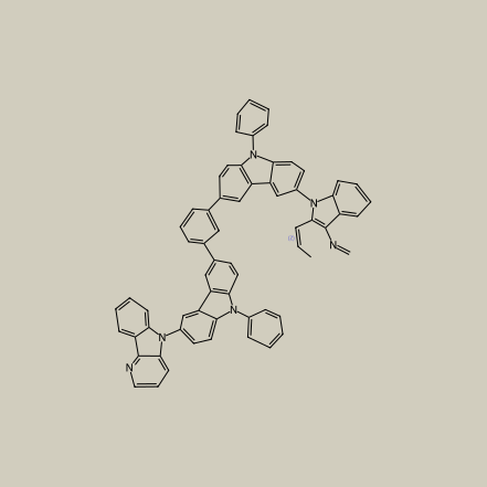 C=Nc1c(/C=C\C)n(-c2ccc3c(c2)c2cc(-c4cccc(-c5ccc6c(c5)c5cc(-n7c8ccccc8c8ncccc87)ccc5n6-c5ccccc5)c4)ccc2n3-c2ccccc2)c2ccccc12